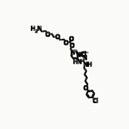 N#CN=C(NCCCCCCOc1ccc(Cl)cc1)Nc1cc[n+](COC(=O)OCCOCCOCCN)cc1.[Cl-]